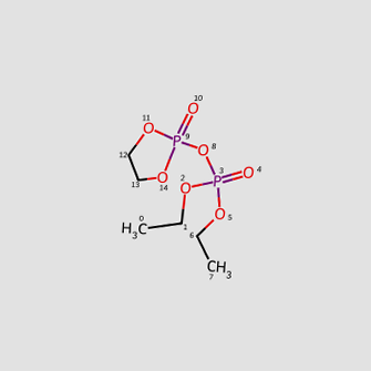 CCOP(=O)(OCC)OP1(=O)OCCO1